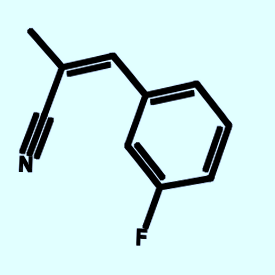 C/C(C#N)=C/c1cccc(F)c1